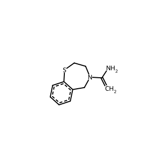 C=C(N)N1CCSc2ccccc2C1